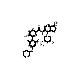 C[C@@H]1C[C@H](N)CN(c2c(NC(=O)c3ccc(F)c(-c4c(F)cc(OC5CCCOC5)cc4F)n3)cnc3c2CC[C@H]3O)C1